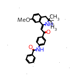 COc1ccc2c(c1)/C(=C/C(=O)c1ccc(NC(=O)c3ccccc3)cc1)NC(C)(C)C2